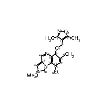 CCN1C=C(C)C(OCc2c(C)noc2C)C2=C1N1CN(OC)C=C1C=N2